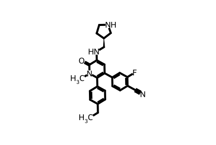 CCc1ccc(-c2c(-c3ccc(C#N)c(F)c3)cc(NC[C@H]3CCNC3)c(=O)n2C)cc1